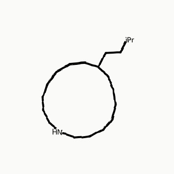 CC(C)CCC1CCCCCCCNCCCCCCC1